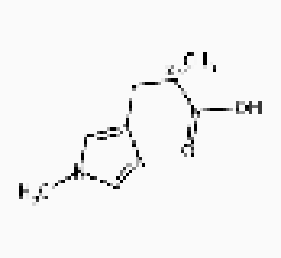 C[C@@H](Cc1cn(C)cn1)C(=O)O